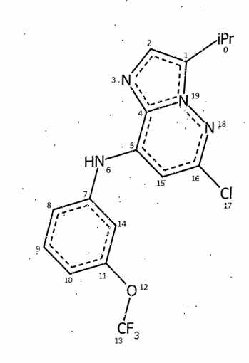 CC(C)c1cnc2c(Nc3cccc(OC(F)(F)F)c3)cc(Cl)nn12